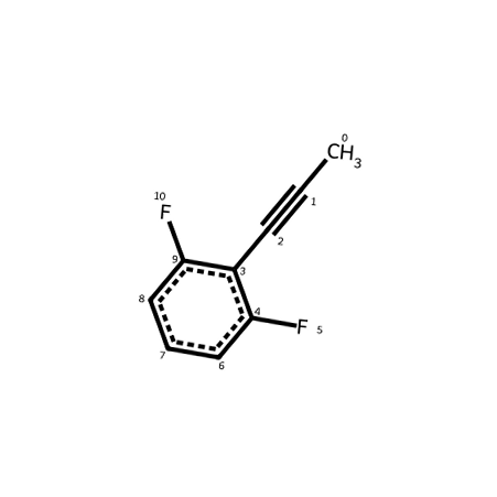 CC#Cc1c(F)cccc1F